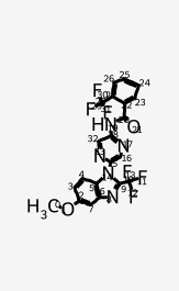 COc1ccc2c(c1)nc(C(F)(F)F)n2-c1cnc(NC(=O)c2ccccc2C(F)(F)F)cn1